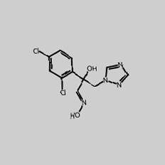 ON=CC(O)(Cn1cncn1)c1ccc(Cl)cc1Cl